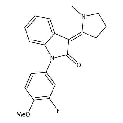 COc1ccc(N2C(=O)/C(=C3\CCCN3C)c3ccccc32)cc1F